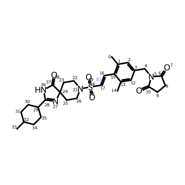 Cc1cc(CN2C(=O)CCC2=O)cc(C)c1/C=C/S(=O)(=O)N1CCC2(CC1)N=C(C1CCC(C)CC1)NC2=O